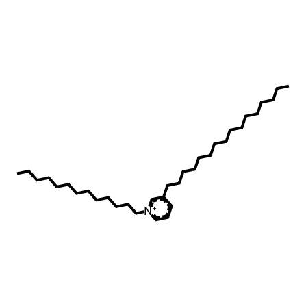 CCCCCCCCCCCCCCCCc1ccc[n+](CCCCCCCCCCCCC)c1